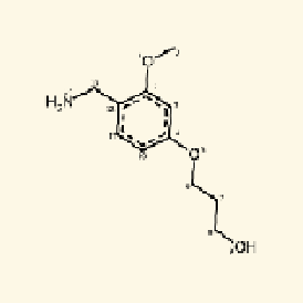 COc1cc(OCCCO)ccc1CN